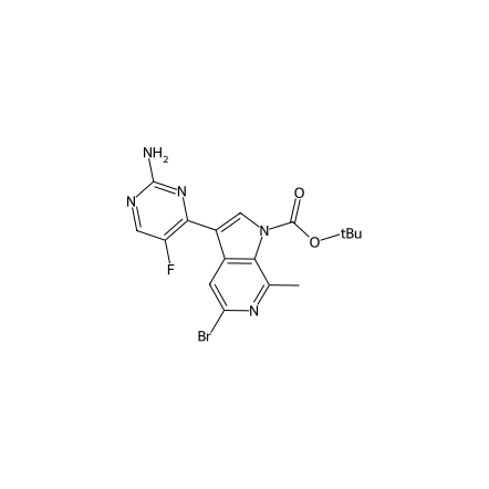 Cc1nc(Br)cc2c(-c3nc(N)ncc3F)cn(C(=O)OC(C)(C)C)c12